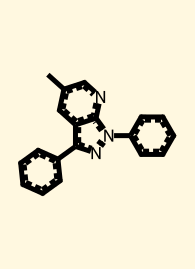 Cc1cnc2c(c1)c(-c1ccccc1)nn2-c1ccccc1